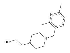 Cc1ccc(CN2CCN(CCO)CC2)c(C)n1